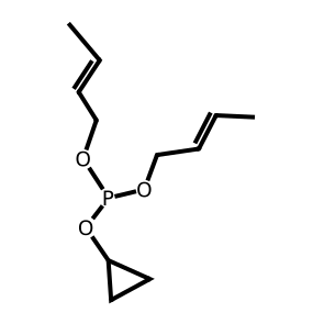 CC=CCOP(OCC=CC)OC1CC1